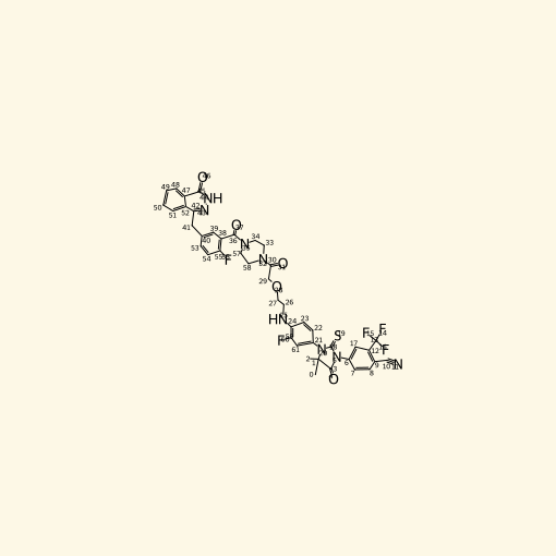 CC1(C)C(=O)N(c2ccc(C#N)c(C(F)(F)F)c2)C(=S)N1c1ccc(NCCOCC(=O)N2CCN(C(=O)c3cc(Cc4n[nH]c(=O)c5ccccc45)ccc3F)CC2)c(F)c1